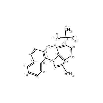 Cc1cn(-c2c(O)ccc3ccccc23)c2cc(C(C)(C)C)ccc12